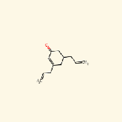 C=CCC1=CC(=O)CC(CC=C)C1